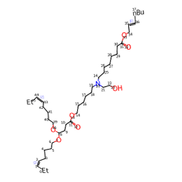 CC/C=C\CCCCOC(CCC(=O)OCCCCCCN(CCO)CCCCCCCC(=O)OC/C=C/CCCC)OCCCC/C=C\CC